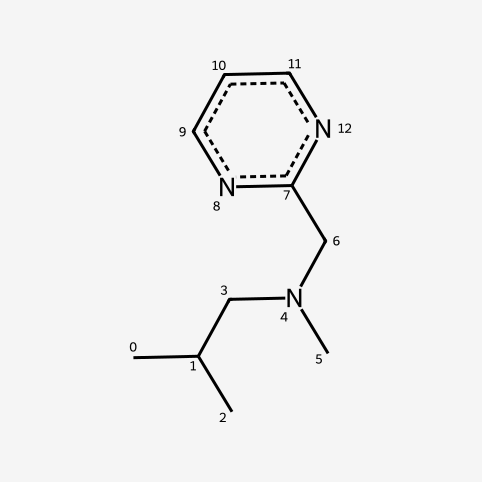 CC(C)CN(C)Cc1ncccn1